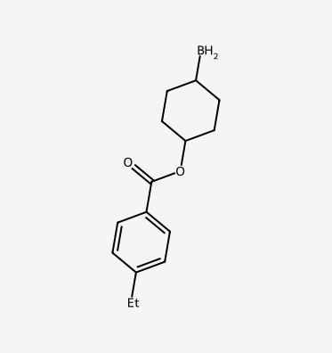 BC1CCC(OC(=O)c2ccc(CC)cc2)CC1